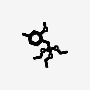 CCO[Si](Cc1ccc(C)cc1OC)(OCC)OCC